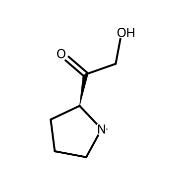 O=C(CO)[C@@H]1CCC[N]1